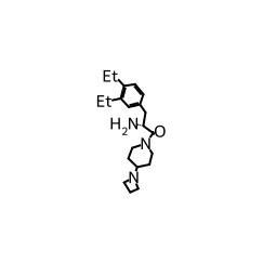 CCc1ccc(C[C@@H](N)C(=O)N2CCC(N3CCC3)CC2)cc1CC